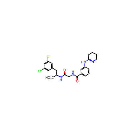 O=C(CNC(=O)c1cccc(NC2=NCCCC2)c1)NC(Cc1cc(Cl)cc(Cl)c1)C(=O)O